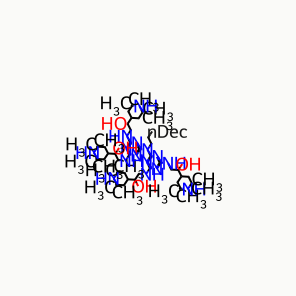 CCCCCCCCCCCCN(c1nc(NCC(O)C2CC(C)(C)NC(C)(C)C2)nc(NCC(O)C2CC(C)(C)NC(C)(C)C2)n1)c1nc(NCC(O)C2CC(C)(C)NC(C)(C)C2)nc(NCC(O)C2CC(C)(C)NC(C)(C)C2)n1